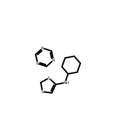 C1=C(NC2CCCCC2)SCS1.c1ncncn1